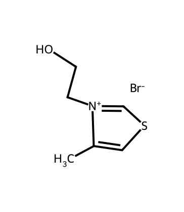 Cc1csc[n+]1CCO.[Br-]